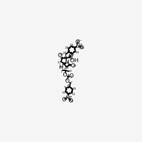 CC(C)(OC(=O)OCc1ccc([N+](=O)[O-])cc1)[C@H]1C(=O)N2[C@@H]1CC(=O)[C@]2(Cc1ccc([N+](=O)[O-])cc1)C(=O)O